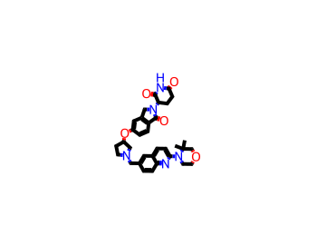 CC1(C)COCCN1c1ccc2cc(CN3CCC(Oc4ccc5c(c4)CN(C4CCC(=O)NC4=O)C5=O)C3)ccc2n1